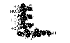 NC(=O)c1cccc2c1c1[c]cccc1n2CCc1ccccc1C(F)(F)F.NC(=O)c1cccc2c1c1c(OCC(=O)O)cccc1n2Cc1cccc(F)c1.NC(=O)c1cccc2c1c1c(OCC(=O)O)cccc1n2Cc1cccc(Oc2ccccc2)c1.NC(=O)c1cccc2c1c1c(OCC(=O)O)cccc1n2Cc1ccccc1.NC(=O)c1cccc2c1c1c(OCC(=O)O)cccc1n2Cc1ccccc1F.[LiH]